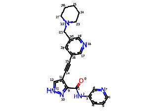 O=C(Nc1cccnc1)c1n[nH]cc1C#Cc1cncc(CN2CCCCC2)c1